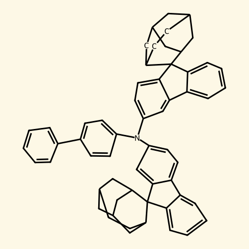 c1ccc(-c2ccc(N(c3ccc4c(c3)-c3ccccc3C43C4CCC5CC(C4)CC3C5)c3ccc4c(c3)C3(c5ccccc5-4)C4CCC5CC(C4)CC3C5)cc2)cc1